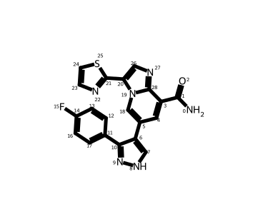 NC(=O)c1cc(-c2c[nH]nc2-c2ccc(F)cc2)cn2c(-c3nccs3)cnc12